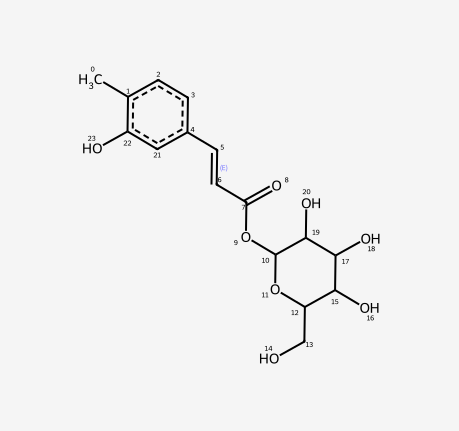 Cc1ccc(/C=C/C(=O)OC2OC(CO)C(O)C(O)C2O)cc1O